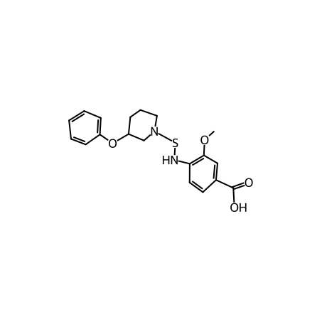 COc1cc(C(=O)O)ccc1NSN1CCCC(Oc2ccccc2)C1